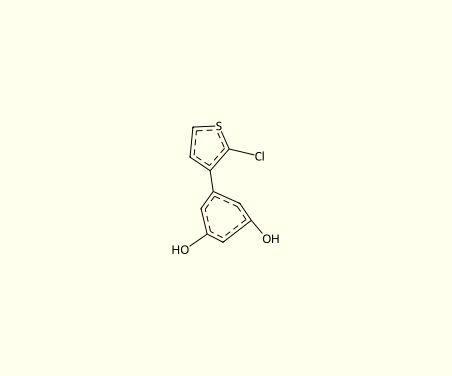 Oc1cc(O)cc(-c2ccsc2Cl)c1